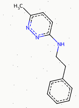 Cc1ccc(NCCc2ccccc2)nn1